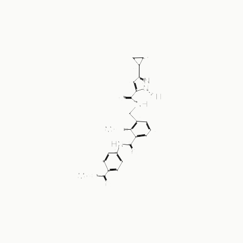 COC(=O)c1ccc(NC(=O)c2cccc(CNC(=O)c3cc(C4CC4)nn3C)c2OC)cc1